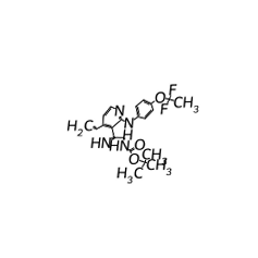 C=Cc1ccnc(Nc2ccc(OC(C)(F)F)cc2)c1C(=N)CNC(=O)OC(C)(C)C